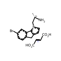 C[C@H](N)Cn1ccc2c1-c1cc(Br)ccc1C2.O=C(O)/C=C/C(=O)O